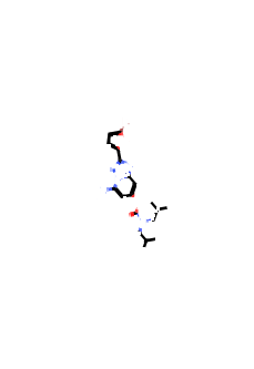 CC(C)CN(CC(C)C)C(=O)Oc1cc(N)n2nc(-c3ccc(Br)o3)nc2c1